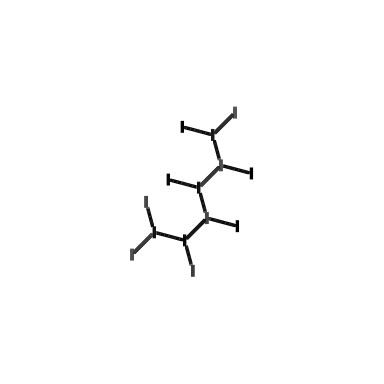 II(I)I(I)I(I)I(I)I(I)I(I)I